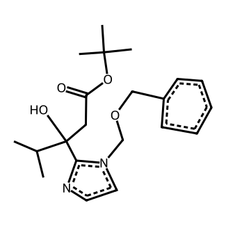 CC(C)C(O)(CC(=O)OC(C)(C)C)c1nccn1COCc1ccccc1